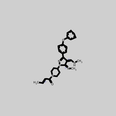 C/C=C/C(=O)N1CCC(N2N=C(c3ccc(Oc4ccccc4)cc3)C(=C/NC)/C2=N\C)CC1